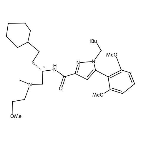 CCC(C)Cn1nc(C(=O)N[C@@H](CCC2CCCCC2)CN(C)CCOC)cc1-c1c(OC)cccc1OC